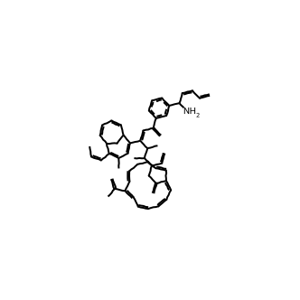 C=C/C=C\C(N)c1cccc(C(=C)/C=C(/C2=CC(C)=C(/C=C\C)C3C=CC=CC2C3)C(C)C(C)C(C=C)CC(=C)C2=C\C=C/C=C\C=C(C(=C)C)\C=C\CC\C=C\2)c1